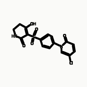 O=C1NCCC(O)=C1S(=O)(=O)c1ccc(-n2cc(Cl)ccc2=O)cc1